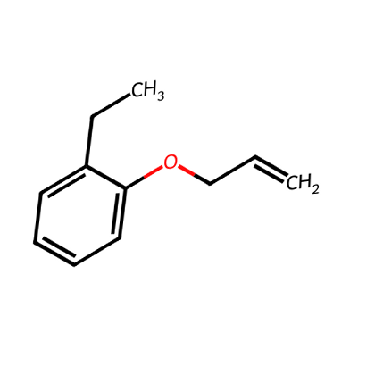 C=CCOc1ccccc1CC